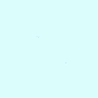 c1ccc(N(c2ccc(-c3cccc(-n4c5ccccc5c5ccccc54)c3)cc2)c2coc3ccccc23)cc1